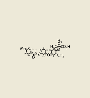 Cc1cc(Oc2cccc(CNC(=O)c3ccc(C(C)C)cc3)c2)ccc1OC(C)(C)C(=O)O